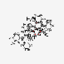 O=C(OC[C@@H](OC(=O)c1ccccc1P(c1ccccc1)c1ccccc1)[C@@H](O)[C@H](O)[C@H](O)CO)c1ccccc1P(c1ccccc1)c1ccccc1